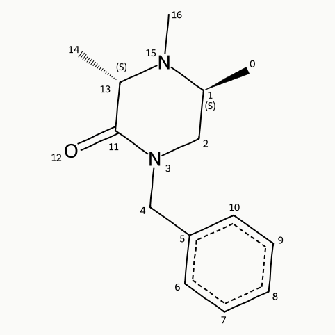 C[C@H]1CN(Cc2ccccc2)C(=O)[C@H](C)N1C